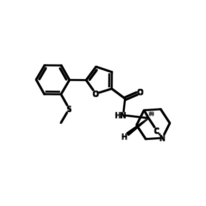 CSc1ccccc1-c1ccc(C(=O)N[C@H]2CN3CCC2CC3)o1